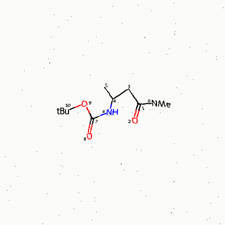 CNC(=O)CC(C)NC(=O)OC(C)(C)C